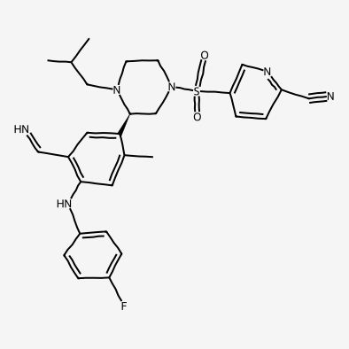 Cc1cc(Nc2ccc(F)cc2)c(C=N)cc1[C@@H]1CN(S(=O)(=O)c2ccc(C#N)nc2)CCN1CC(C)C